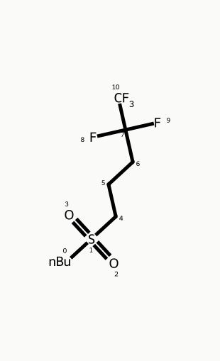 C[CH]CCS(=O)(=O)CCCC(F)(F)C(F)(F)F